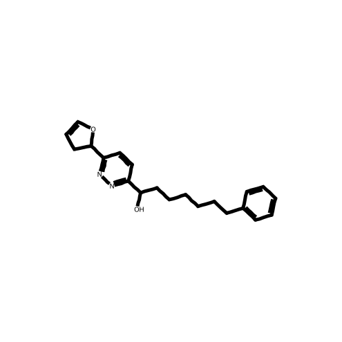 OC(CCCCCCc1ccccc1)c1ccc(C2CC=CO2)nn1